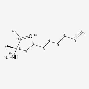 C=CCCCCCC[C@](C)(NC)C(C)=O